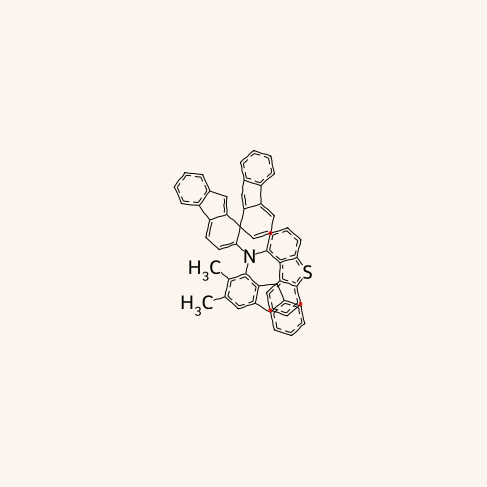 Cc1cc2c(c(N(C3=CC=C4C(=Cc5ccccc54)C34C=CC=C3C4=Cc4ccccc43)c3cccc4sc5ccccc5c34)c1C)Cc1ccccc1-2